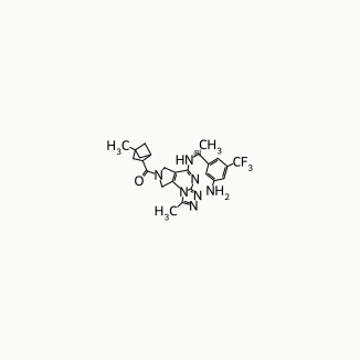 Cc1nnc2nc(N[C@H](C)c3cc(N)cc(C(F)(F)F)c3)c3c(n12)CN(C(=O)C1CC2(C)CC1C2)C3